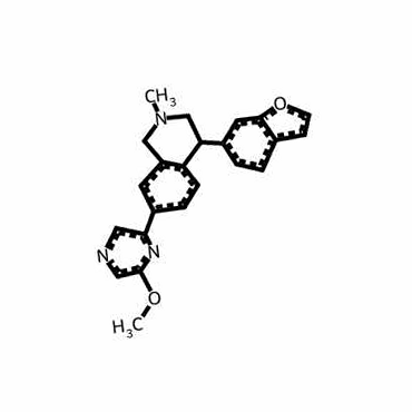 COc1cncc(-c2ccc3c(c2)CN(C)CC3c2ccc3ccoc3c2)n1